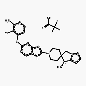 Nc1nccc(Sc2cnc3[nH]c(N4CCC5(CC4)Cn4nccc4[C@H]5N)nc3n2)c1Cl.O=C(O)C(F)(F)F